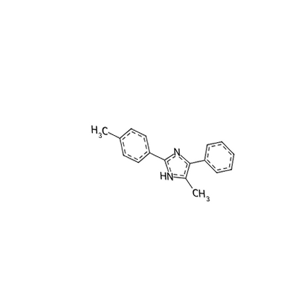 Cc1ccc(-c2nc(-c3ccccc3)c(C)[nH]2)cc1